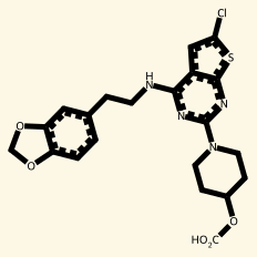 O=C(O)OC1CCN(c2nc(NCCc3ccc4c(c3)OCO4)c3cc(Cl)sc3n2)CC1